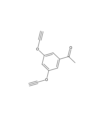 C#COc1cc(OC#C)cc(C(C)=O)c1